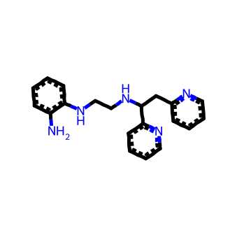 Nc1ccccc1NCCNC(Cc1ccccn1)c1ccccn1